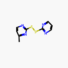 Cc1ccnc(SSc2ncccn2)n1